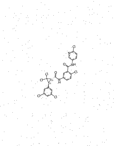 O=C(Nc1ccc(Cl)nc1)c1cc(NC(=O)[C@@H]2[C@@H](c3cc(Cl)cc(Cl)c3)C2(Cl)Cl)ccc1Cl